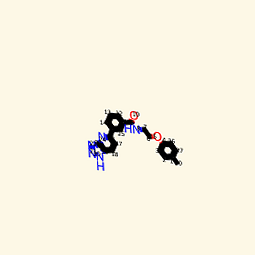 Cc1ccc(OCCNC(=O)c2cccc(-c3ccc4[nH]nnc4n3)c2)cc1